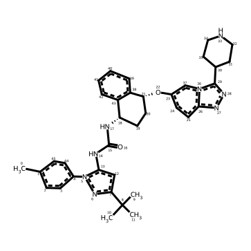 Cc1ccc(-n2nc(C(C)(C)C)cc2NC(=O)N[C@H]2CC[C@@H](Oc3ccc4nnc(C5CCNCC5)n4c3)c3ccccc32)cc1